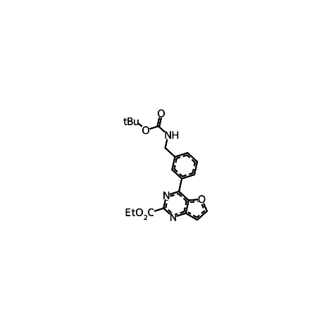 CCOC(=O)c1nc(-c2cccc(CNC(=O)OC(C)(C)C)c2)c2occc2n1